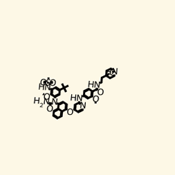 COc1cc(Nc2cc(Oc3ccc(N(C(N)=O)c4cc(C(C)(C)C)cc(NS(C)(=O)=O)c4OC)c4ccccc34)ccn2)ccc1C(=O)NCCC12CCN(CC1)CC2